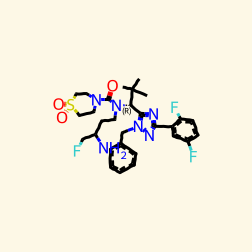 CC(C)(C)[C@H](c1nc(-c2cc(F)ccc2F)nn1Cc1ccccc1)N(CCC(N)CF)C(=O)N1CCS(=O)(=O)CC1